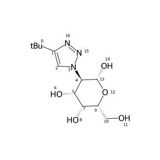 CC(C)(C)c1cn([C@@H]2[C@@H](O)[C@@H](O)[C@@H](CO)O[C@H]2O)nn1